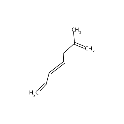 C=C/C=C/CC(=C)C